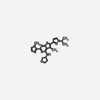 Cc1c(-c2ccn(C(C)C)n2)sc2nc(-c3nccn3C)nc(NC3CCOC3)c12